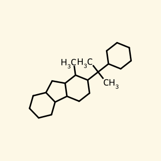 CC1C2CC3CCCCC3C2CCC1C(C)(C)C1CCCCC1